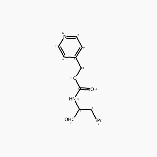 CC(C)CC(C=O)NC(=O)OCc1ccncc1